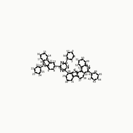 c1ccc(-c2nc(-c3ccc4c(c3)c3ccccc3n4-c3ccccc3)nc(-c3cccc4c3sc3c4ccc4c(-c5ccccc5)nc5ccccc5c43)n2)cc1